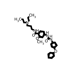 CCCN(CCC)CCCNC(=O)c1ccc(NC(=O)Nc2ccc(Oc3ccccc3)cc2)cc1OC